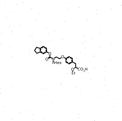 CCCCCCN(CCOc1ccc(CC(OCC)C(=O)O)cc1)C(=O)Oc1ccc2c(c1)CCC2